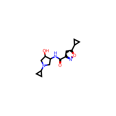 O=C(NC1CN(C2CC2)CC1O)c1cc(C2CC2)on1